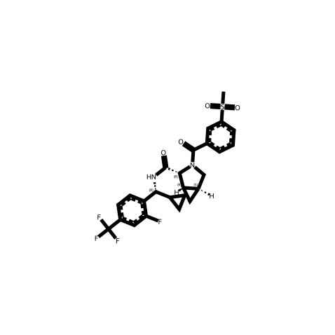 CS(=O)(=O)c1cccc(C(=O)N2C[C@H]3C[C@H]3[C@@H]2C(=O)N[C@@H](c2ccc(C(F)(F)F)cc2F)C2CC2)c1